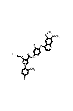 CCOc1nn(-c2ccc(F)cc2C)cc1C(=O)Nc1ccc(Oc2ccnc3cc(OC)c(OC)cc23)c(F)c1